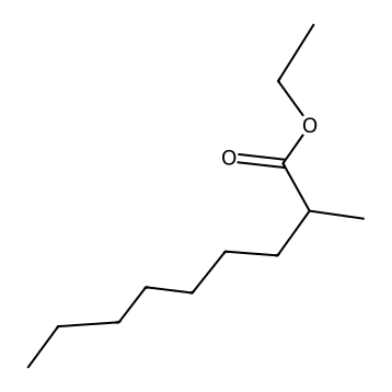 CCCCCCCC(C)C(=O)OCC